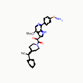 COc1cnc(-c2ccc(SN)cc2)c2[nH]cc(C(=O)C(=O)N3CCC(=C(C#N)c4ccccc4)CC3)c12